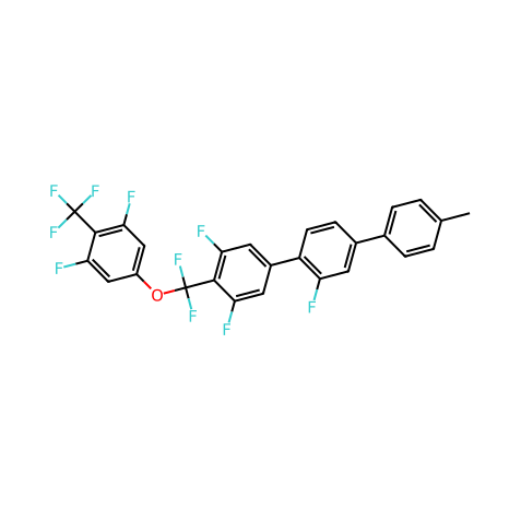 Cc1ccc(-c2ccc(-c3cc(F)c(C(F)(F)Oc4cc(F)c(C(F)(F)F)c(F)c4)c(F)c3)c(F)c2)cc1